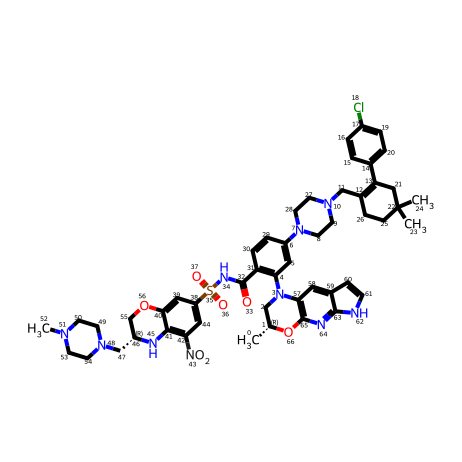 C[C@@H]1CN(c2cc(N3CCN(CC4=C(c5ccc(Cl)cc5)CC(C)(C)CC4)CC3)ccc2C(=O)NS(=O)(=O)c2cc3c(c([N+](=O)[O-])c2)N[C@H](CN2CCN(C)CC2)CO3)c2cc3cc[nH]c3nc2O1